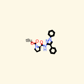 CC(C)(C)OC(=O)N1CCC[C@@H]1C(=O)Nc1nn(-c2ccccc2)cc1-c1ccccc1